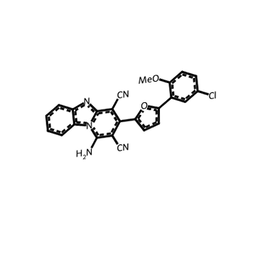 COc1ccc(Cl)cc1-c1ccc(-c2c(C#N)c(N)n3c(nc4ccccc43)c2C#N)o1